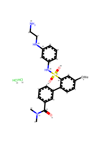 COc1ccc(-c2cccc(C(=O)N(C)C)c2)c(S(=O)(=O)Nc2cccc(NCCN)c2)c1.Cl.Cl